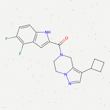 O=C(c1cc2c(F)c(F)ccc2[nH]1)N1CCn2ncc(C3CCC3)c2C1